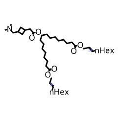 CCCCCC/C=C/COC(=O)CCCCCCCC(CCCCCCCC(=O)OC/C=C/CCCCCC)OC(=O)CC1CC(CN(C)C)C1